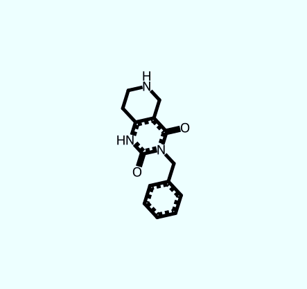 O=c1[nH]c2c(c(=O)n1Cc1ccccc1)CNCC2